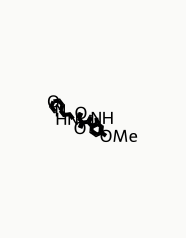 COc1ccc2c(C(=O)C(=O)NCCN3CCOCC3)c[nH]c2c1